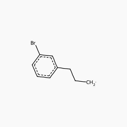 [CH2]CCc1cccc(Br)c1